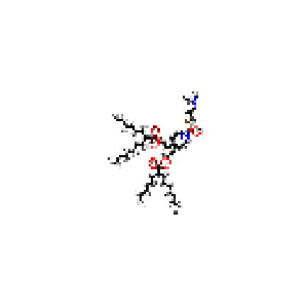 CCCCCCCCC(CCCCCC)C(=O)OCCC1(CCOC(=O)C(CCCCCC)CCCCCCCC)CCN(C(=O)SCCCN(C)C)CC1